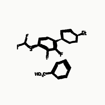 CC[C@H]1CC[C@H](c2ccc(SC(F)F)c(F)c2F)CC1.O=C(O)c1ccccc1